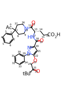 CC(=O)C1(c2ccccc2)CCN(C(=O)[C@H](CCC(=O)O)NC(=O)c2cc(OCC(=O)C(C)(C)C)n(-c3ccccc3)n2)CC1